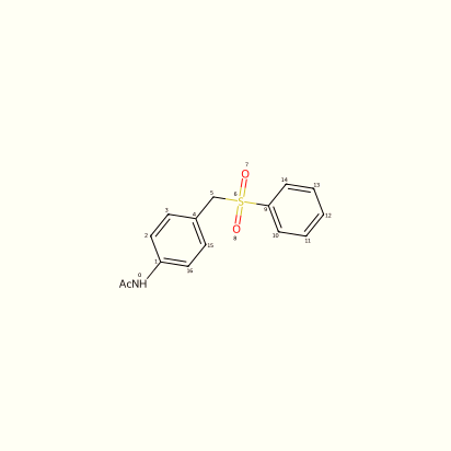 CC(=O)Nc1ccc(CS(=O)(=O)c2ccccc2)cc1